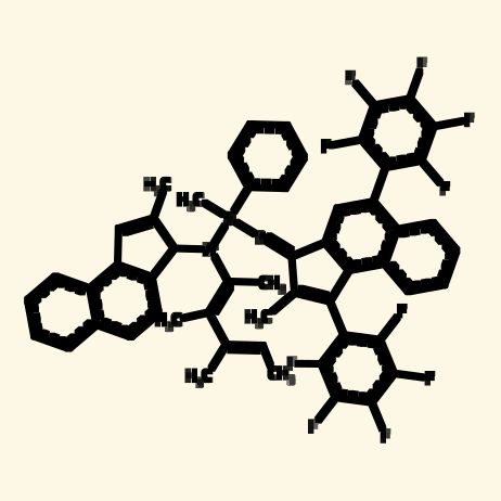 CC=C(C)C(C)=[C](C)[Zr]([CH]1C(C)=Cc2c1ccc1ccccc21)[Si](C)(/B=C1\C(C)=C(c2c(F)c(F)c(F)c(F)c2F)c2c1cc(-c1c(F)c(F)c(F)c(F)c1F)c1ccccc21)c1ccccc1